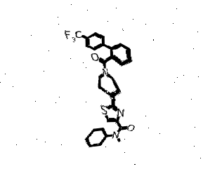 CN(C(=O)c1csc(C2CCN(C(=O)c3ccccc3-c3ccc(C(F)(F)F)cc3)CC2)n1)C1CCCCC1